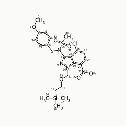 COc1ccc(CN(c2nn(COCC[Si](C)(C)C)c3c([N+](=O)[O-])ccc(Cl)c23)S(C)(=O)=O)cc1